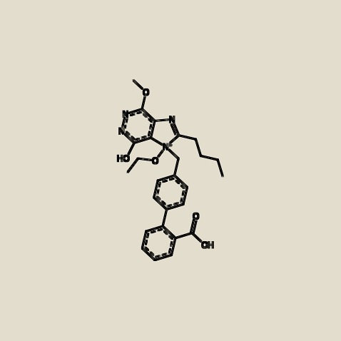 CCCCC1=Nc2c(OC)nnc(O)c2[N+]1(Cc1ccc(-c2ccccc2C(=O)O)cc1)OCC